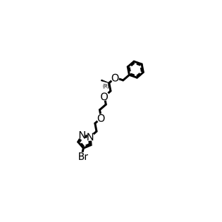 C[C@H](COCCOCCn1cc(Br)cn1)OCc1ccccc1